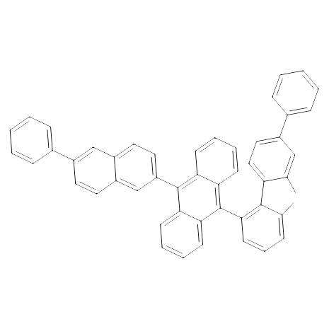 c1ccc(-c2ccc3cc(-c4c5ccccc5c(-c5cccc6oc7cc(-c8ccccc8)ccc7c56)c5ccccc45)ccc3c2)cc1